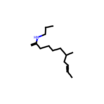 C=C(CCCCC(C)CC=CC)NCCC